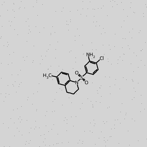 Cc1ccc2c(c1)CCCN2S(=O)(=O)c1ccc(Cl)c(N)c1